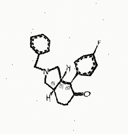 O=C1CC[C@@H]2CN(Cc3ccccc3)C[C@@H]2[C@H]1c1ccc(F)cc1